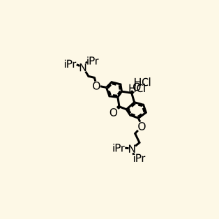 CC(C)N(CCOc1ccc2c(c1)C(=O)c1cc(OCCN(C(C)C)C(C)C)ccc1C2=O)C(C)C.Cl.Cl